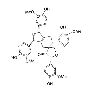 COc1ccc([C@@H]2O[C@H](c3ccc(O)c(OC)c3)C(=O)[C@]23CCC2=C(C3)[C@@H](c3ccc(O)c(OC)c3)O[C@H]2c2ccc(O)c(OC)c2)cc1O